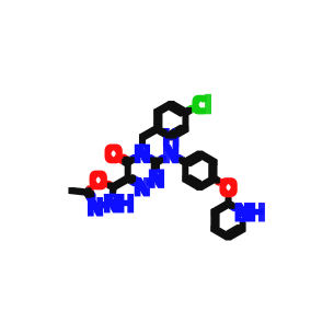 CC1=NNC(c2nnc(Nc3ccc(OC4C=CC=CN4)cc3)n(Cc3ccc(Cl)cc3)c2=O)O1